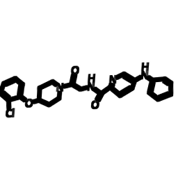 O=C(NCC(=O)N1CCC(Oc2ccccc2Cl)CC1)c1ccc(Nc2ccccc2)cn1